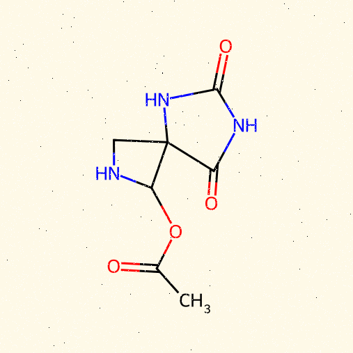 CC(=O)OC1NCC12NC(=O)NC2=O